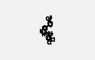 C=CC(=O)N1CCCC(c2ccc3ncnc(Nc4ccc(Cl)c(Cl)c4F)c3c2)C1